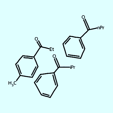 CC(C)C(=O)c1ccccc1.CCC(=O)c1ccc(C)cc1.CCCC(=O)c1ccccc1